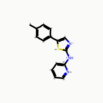 Cc1ccc(-c2cnc(Nc3ccccn3)s2)cc1